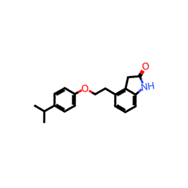 CC(C)c1ccc(OCCc2cccc3c2CC(=O)N3)cc1